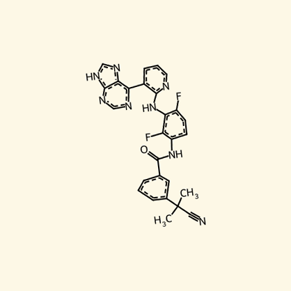 CC(C)(C#N)c1cccc(C(=O)Nc2ccc(F)c(Nc3ncccc3-c3ncnc4[nH]cnc34)c2F)c1